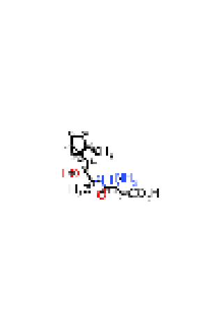 C[C@@H](NC(=O)[C@@H](N)CC(=O)O)[C@H](O)CC1CC2CCC1(C)C2